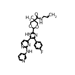 C=CCNC(=O)C1(C)COC(c2nc(-c3ccc(F)cc3)c(-c3ccnc(Nc4cccnc4)n3)[nH]2)OC1